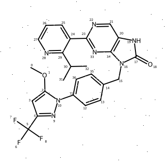 COc1cc(C(F)(F)F)nn1-c1ccc(Cn2c(=O)[nH]c3cnc(-c4cccnc4C(C)C)nc32)cc1